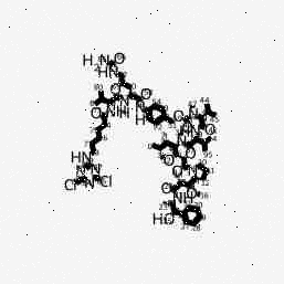 CC[C@H](C)[C@@H]([C@@H](CC(=O)N1CCC[C@H]1[C@H](OC)[C@@H](C)C(=O)N[C@H](C)[C@@H](O)c1ccccc1)OC)N(C)C(=O)[C@@H](NC(=O)[C@H](C(C)C)N(C)C(=O)OCc1ccc(NC(=O)[C@H](CCCNC(N)=O)NC(=O)[C@@H](NC(=O)CCCCCNc2nc(Cl)nc(Cl)n2)C(C)C)cc1)C(C)C